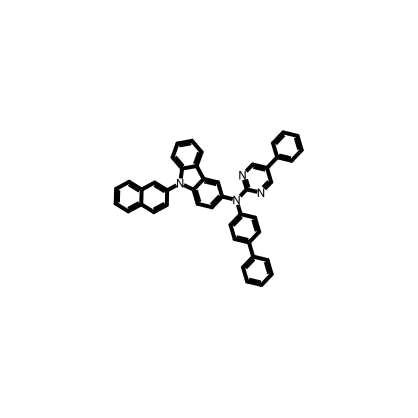 c1ccc(-c2ccc(N(c3ccc4c(c3)c3ccccc3n4-c3ccc4ccccc4c3)c3ncc(-c4ccccc4)cn3)cc2)cc1